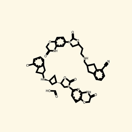 N#Cc1cccc2c1CC(CNCCC1CN(c3ccc4c(c3)NC(=O)CO4)C(=O)O1)C2.O=C1COc2ccc(N3CC([C@H]4C[C@H](NC5Cc6cccc(Cl)c6C5)C4)OC3=O)nc2N1.O=CO